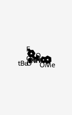 COC1c2ccccc2CC1NC(=O)[C@@H](NC(=O)OC(C)(C)C)c1ccc(F)cc1